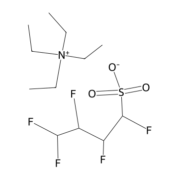 CC[N+](CC)(CC)CC.O=S(=O)([O-])C(F)C(F)C(F)C(F)F